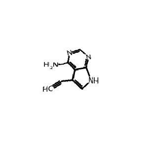 C#Cc1c[nH]c2ncnc(N)c12